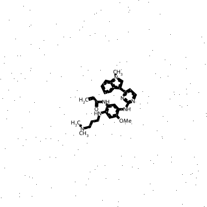 C=CC(=O)Nc1cc(Nc2nccc(-c3cn(C)c4ccccc34)n2)c(OC)cc1NCCCN(C)C